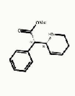 COC(=O)[C@@H](c1ccccc1)[C@H]1C=CCCN1